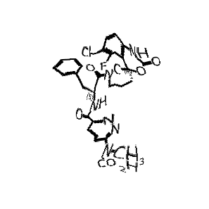 CN(C(=O)O)c1ccc(C(=O)N[C@@H](Cc2ccccc2)C(=O)N2CCC[C@@]3(C2)OC(=O)Nc2ccc(Cl)c(F)c23)nn1